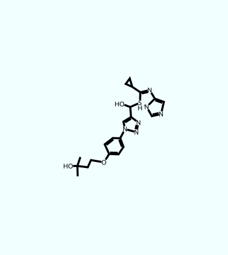 CC(C)(O)CCOc1ccc(-n2cc(C(O)[SH]3C(C4CC4)=Nc4cncn43)nn2)cc1